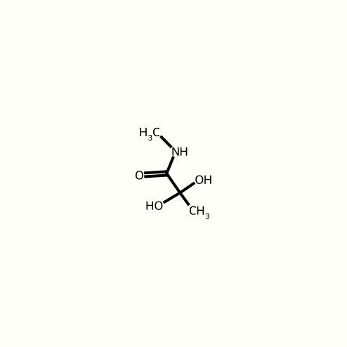 CNC(=O)C(C)(O)O